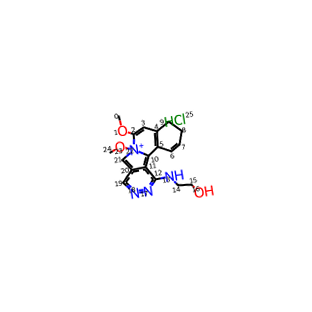 COC1=CC2=C(C=CCC2)C2=c3c(NCCO)nncc3=C[N+]12OC.Cl